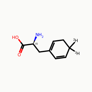 [2H]C1([2H])C=CC(C[C@H](N)C(=O)O)=CC1